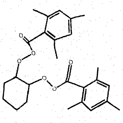 Cc1cc(C)c(C(=O)OO[C]2CC[CH]CC2OOC(=O)c2c(C)cc(C)cc2C)c(C)c1